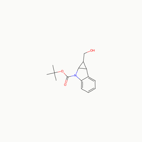 CC(C)(C)OC(=O)N1c2ccccc2C2C(CO)C21